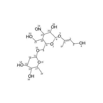 C/C(=C\CO)OC1OC(COC2CC(O)C(O)C(C)O2)C(CO)C(N=O)C1O